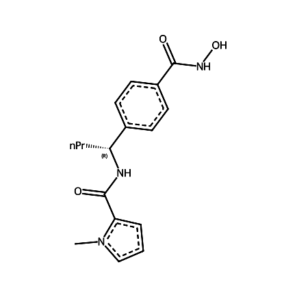 CCC[C@@H](NC(=O)c1cccn1C)c1ccc(C(=O)NO)cc1